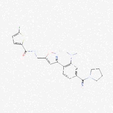 CN(C)c1cc(C(=N)N2CCCC2)ccc1-c1cc(CNC(=O)c2ccc(Cl)s2)on1